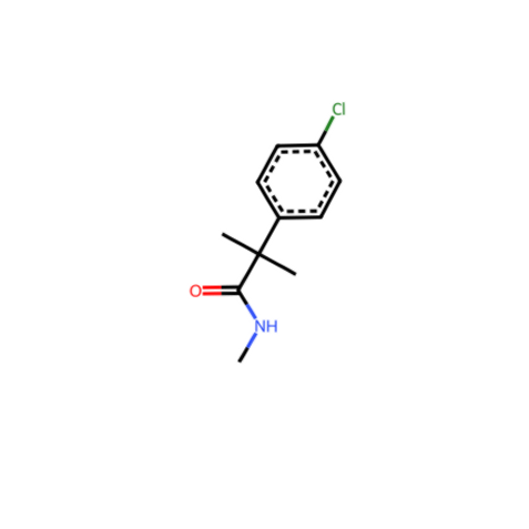 CNC(=O)C(C)(C)c1ccc(Cl)cc1